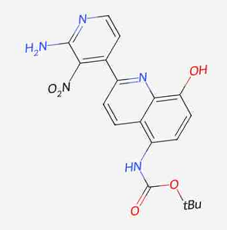 CC(C)(C)OC(=O)Nc1ccc(O)c2nc(-c3ccnc(N)c3[N+](=O)[O-])ccc12